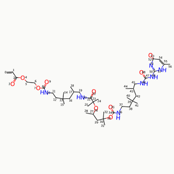 C=CC(=O)OCCOC(=O)NCCC(C)(C)CC(C)CNC(=O)C(C)(C)OC(C)CC(C)(C)OC(=O)NCCC(C)(C)CC(C)CNC(=O)Nc1nc(=O)cc(C)[nH]1